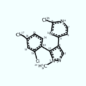 Cn1ncc(-c2ccnc(Cl)n2)c1-c1ccc(Cl)cc1Cl